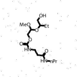 CCCNC(=O)CCNC(=O)OCC(OC)OC(CC)CO